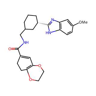 COc1ccc2[nH]c([C@H]3CCCC(CNC(=O)C4=CC5=C(CC4)OCCO5)C3)nc2c1